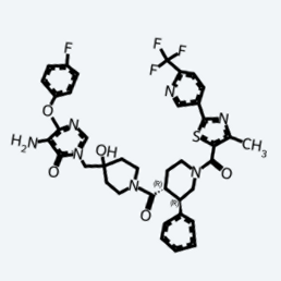 Cc1nc(-c2ccc(C(F)(F)F)nc2)sc1C(=O)N1CC[C@@H](C(=O)N2CCC(O)(Cn3cnc(Oc4ccc(F)cc4)c(N)c3=O)CC2)[C@H](c2ccccc2)C1